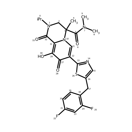 CC(C)N1CC(C)(C(=O)N(C)C)n2cc(-c3ncc(Cc4ccc(F)cc4F)s3)c(=O)c(O)c2C1=O